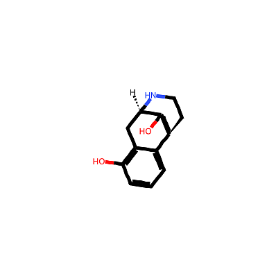 Oc1cccc2c1C[C@H]1NCC[C@@]23CCCCC13O